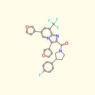 O=C(c1nc2c(C(F)(F)F)cc(-c3ccoc3)cn2c1-c1ccoc1)N1CCC(c2ccc(F)cc2)C1